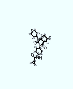 O=C(NC1CCC(n2c(=O)c3cc(F)cnc3n(C3CCSCC3)c2=O)CC1)C1CC1